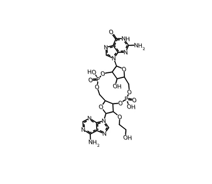 Nc1nc2c(ncn2C2OC3COP(=O)(O)OC4C(COP(=O)(O)OC2C3O)OC(n2cnc3c(N)ncnc32)C4OCCO)c(=O)[nH]1